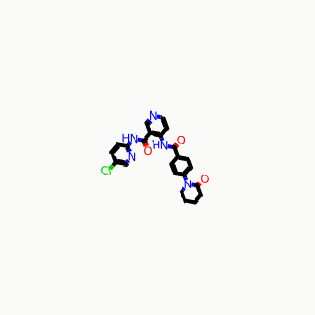 O=C(Nc1ccncc1C(=O)Nc1ccc(Cl)cn1)c1ccc(N2CCCCC2=O)cc1